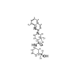 Cc1cccc2ccc(N3CC[C@H](C(=O)N[C@H]4CCCC(C(C)(C)O)C4)C(C)(C)C3)nc12